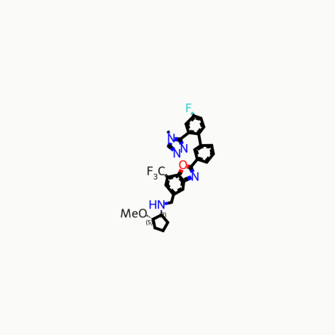 CO[C@H]1CCC[C@H]1NCc1cc(C(F)(F)F)c2oc(-c3cccc(-c4ccc(F)cc4-c4nncn4C)c3)nc2c1